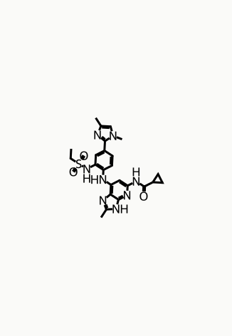 CCS(=O)(=O)Nc1cc(-c2nc(C)cn2C)ccc1Nc1cc(NC(=O)C2CC2)nc2[nH]c(C)nc12